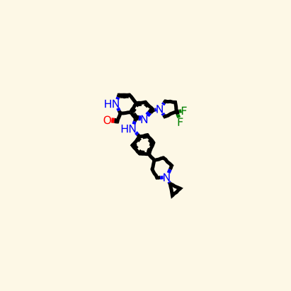 O=CC1NC=Cc2cc(N3CCC(F)(F)C3)nc(Nc3ccc(C4CCN(C5CC5)CC4)cc3)c21